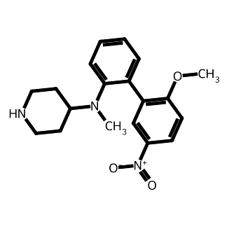 COc1ccc([N+](=O)[O-])cc1-c1ccccc1N(C)C1CCNCC1